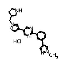 Cl.Cn1cc(-c2cccc(-c3ncc(-c4cnn(CC5CCNC5)c4)cn3)c2)cn1